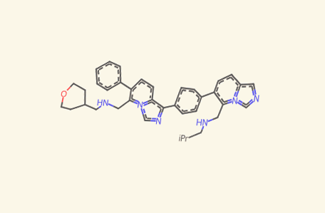 CC(C)CNCc1c(-c2ccc(-c3ncn4c(CNCC5CCOCC5)c(-c5ccccc5)ccc34)cc2)ccc2cncn12